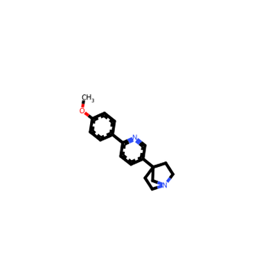 COc1ccc(-c2ccc(C34CCN(CC3)C4)cn2)cc1